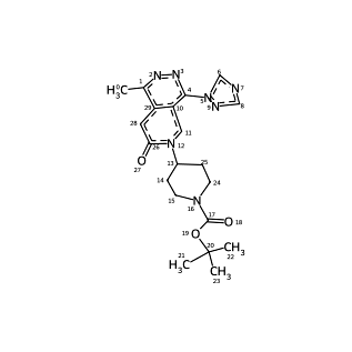 Cc1nnc(-n2cncn2)c2cn(C3CCN(C(=O)OC(C)(C)C)CC3)c(=O)cc12